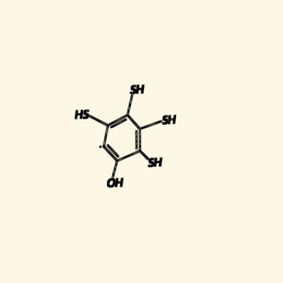 Oc1[c]c(S)c(S)c(S)c1S